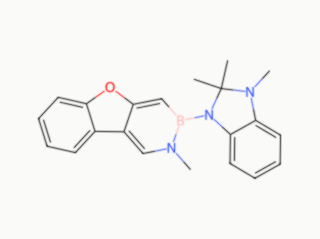 CN1C=c2c(oc3ccccc23)=CB1N1c2ccccc2N(C)C1(C)C